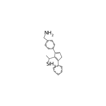 CC([SiH3])C1=C(c2ccccc2)CC=C1c1ccc(CN)cc1